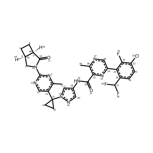 Cc1nc(N2C[C@H]3CC[C@H]3C2=O)ncc1C1(n2cc(NC(=O)c3nc(-c4c(C(F)F)ccc(Cl)c4F)cnc3C)cn2)CC1